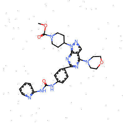 COC(=O)N1CCC(n2ncc3c(N4CCOCC4)nc(-c4ccc(NC(=O)Nc5ccccn5)cc4)nc32)CC1